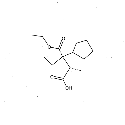 CCOC(=O)C(CC)(C1CCCC1)C(C)C(=O)O